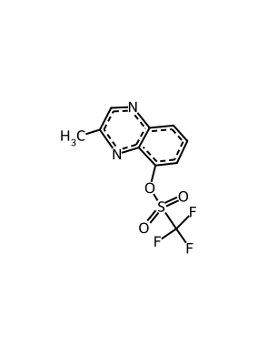 Cc1cnc2cccc(OS(=O)(=O)C(F)(F)F)c2n1